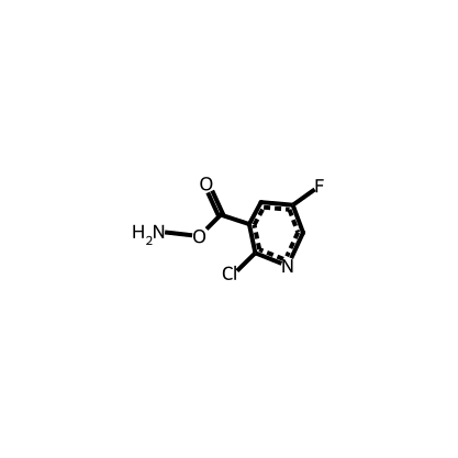 NOC(=O)c1cc(F)cnc1Cl